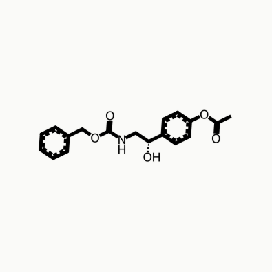 CC(=O)Oc1ccc([C@H](O)CNC(=O)OCc2ccccc2)cc1